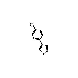 Clc1ccc(-c2cc[te]c2)cc1